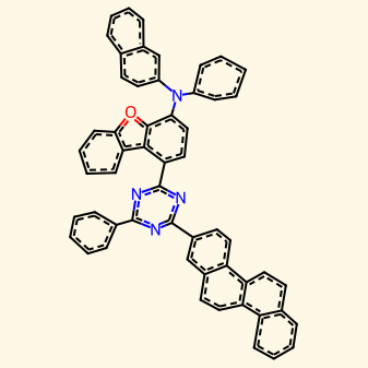 c1ccc(-c2nc(-c3ccc4c(ccc5c6ccccc6ccc45)c3)nc(-c3ccc(N(c4ccccc4)c4ccc5ccccc5c4)c4oc5ccccc5c34)n2)cc1